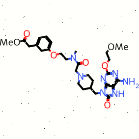 COCCOc1nc(N)c2[nH]c(=O)n(CC3CCN(CC(=O)N(C)CCOC4=C=CC=C(CC(=O)OC)C4)CC3)c2n1